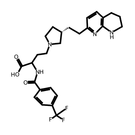 O=C(NC(CCN1CC[C@H](CCc2ccc3c(n2)NCCC3)C1)C(=O)O)c1ccc(C(F)(F)F)cc1